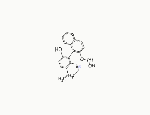 C=Cc1ccc(O)c(-c2c(OPO)ccc3ccccc23)c1/C=C\C